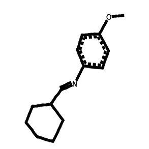 COc1ccc(/N=C/C2CCCCC2)cc1